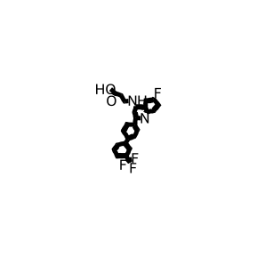 O=C(O)CCNc1cc(-c2ccc(-c3cccc(C(F)(F)F)c3)cc2)nc2ccc(F)cc12